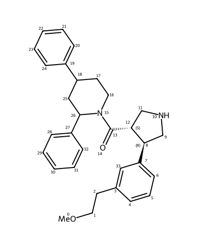 COCCc1cccc([C@@H]2CNC[C@H]2C(=O)N2CCC(c3ccccc3)CC2c2ccccc2)c1